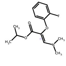 CC(C)OC(=O)/C(=C/N(C)C)Oc1ccccc1F